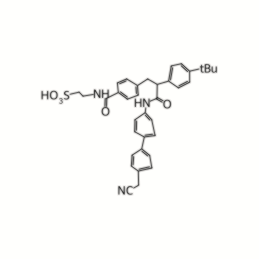 CC(C)(C)c1ccc(C(Cc2ccc(C(=O)NCCS(=O)(=O)O)cc2)C(=O)Nc2ccc(-c3ccc(CC#N)cc3)cc2)cc1